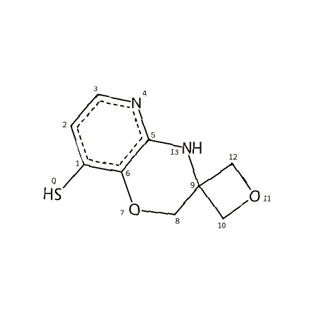 Sc1ccnc2c1OCC1(COC1)N2